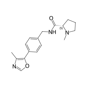 Cc1ncoc1-c1ccc(CNC(=O)[C@@H]2CCCN2C)cc1